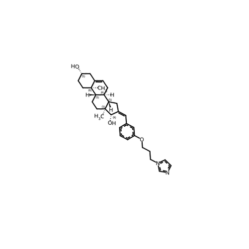 C[C@]12CC[C@H]3[C@@H](CC=C4C[C@@H](O)CC[C@@]43C)[C@@H]1CC(=Cc1cccc(OCCCn3ccnc3)c1)[C@@H]2O